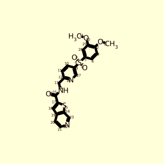 COc1ccc(S(=O)(=O)c2ccc(CNC(=O)c3cc4ccncc4s3)nc2)cc1OC